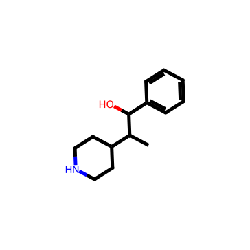 C[C](C1CCNCC1)C(O)c1ccccc1